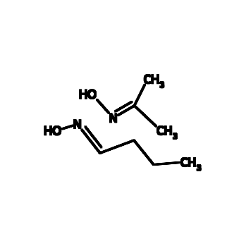 CC(C)=NO.CCCC=NO